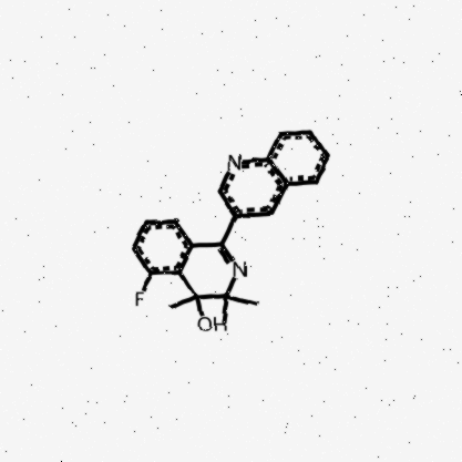 CC1(C)N=C(c2cnc3ccccc3c2)c2cccc(F)c2C1(C)O